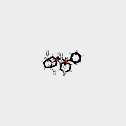 O=C(NC1C[C@H]2CC[C@@H](C1)N2C(=O)[C@@H]1COCCN1)c1ccccc1